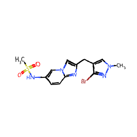 Cn1cc(Cc2cn3cc(NS(C)(=O)=O)ccc3n2)c(Br)n1